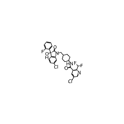 O=C(NC1CCC(CN2C(=O)C(O)(c3ccccc3F)c3ccc(Cl)cc32)CC1)c1cc(Cl)cnc1C(F)F